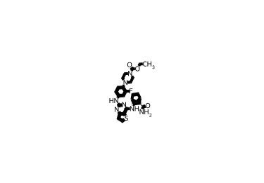 CCOC(=O)N1CCN(c2ccc(Nc3nc(N[C@H]4C5C=CC(C5)[C@@H]4C(N)=O)c4sccc4n3)cc2F)CC1